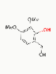 [CH]=Cc1ccc(OC)c(OC)c1O